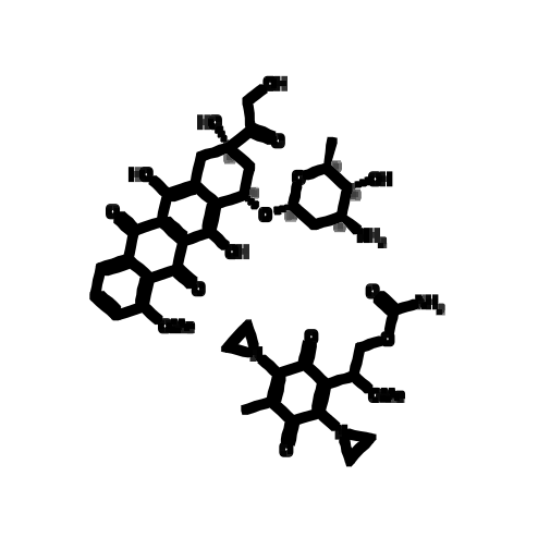 COC(COC(N)=O)C1=C(N2CC2)C(=O)C(C)=C(N2CC2)C1=O.COc1cccc2c1C(=O)c1c(O)c3c(c(O)c1C2=O)C[C@@](O)(C(=O)CO)C[C@@H]3O[C@H]1C[C@H](N)[C@@H](O)[C@H](C)O1